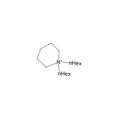 CCCCCC[N+]1(CCCCCC)CCCCC1